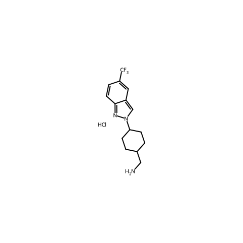 Cl.NCC1CCC(n2cc3cc(C(F)(F)F)ccc3n2)CC1